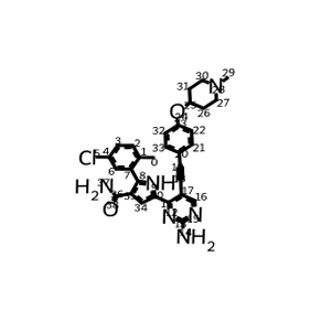 Cc1ccc(Cl)cc1-c1[nH]c(-c2nc(N)ncc2C#Cc2ccc(OC3CCN(C)CC3)cc2)cc1C(N)=O